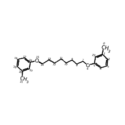 Cc1cccc(OCCCCCCCCOc2cccc(C)c2)c1